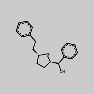 OC(c1ccccc1)[C@H]1CC[C@@H](CCc2ccccc2)N1